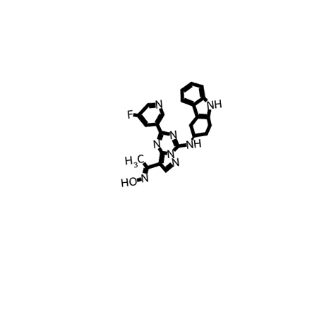 C/C(=N\O)c1cnn2c(N[C@@H]3CCc4[nH]c5ccccc5c4C3)nc(-c3cncc(F)c3)nc12